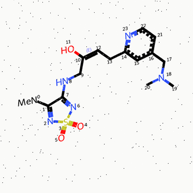 CNC1=NS(=O)(=O)N=C1NC/C(O)=C\Cc1cc(CN(C)C)ccn1